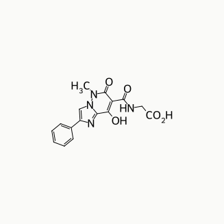 Cn1c(=O)c(C(=O)NCC(=O)O)c(O)c2nc(-c3ccccc3)cn21